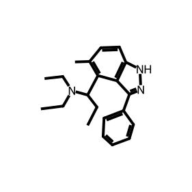 CCC(c1c(C)ccc2[nH]nc(-c3ccccc3)c12)N(CC)CC